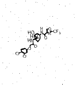 O=C(COc1ccc(Cl)c(Cl)c1)NC12CCC(NC(=O)c3coc(C(F)(F)F)n3)(CC1)C[C@@H]2O